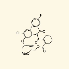 C#CC(C)Oc1cc(N(C(=O)C2=C(C(=O)OCCOC)CCCC2)C(=O)c2cccc(F)c2)c(F)cc1Cl